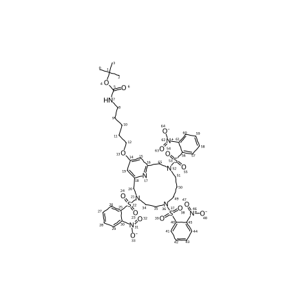 CC(C)(C)OC(=O)NCCCCCOc1cc2nc(c1)CN(S(=O)(=O)c1ccccc1[N+](=O)[O-])CCN(S(=O)(=O)c1ccccc1[N+](=O)[O-])CCCN(S(=O)(=O)c1ccccc1[N+](=O)[O-])C2